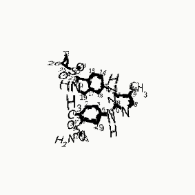 Cc1ccc(Nc2ncc(C)c(Nc3ccc4c(c3)CNC4S(=O)(=O)C3CC3)n2)cc1S(N)(=O)=O